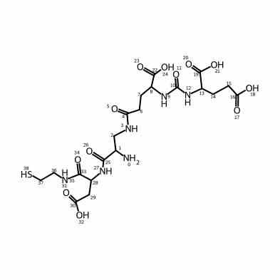 NC(CNC(=O)CCC(NC(=O)NC(CCC(=O)O)C(=O)O)C(=O)O)C(=O)NC(CC(=O)O)C(=O)NCCS